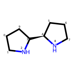 C1CNC([C@H]2CCCN2)C1